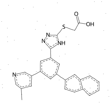 Cc1cncc(-c2cc(-c3ccc4ccccc4c3)cc(-c3nnc(SCC(=O)O)[nH]3)c2)c1